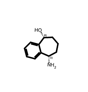 N[C@H]1CCC[C@@H](O)c2ccccc21